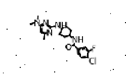 Cc1cc(N(C)C)nc(NC2CCC(NC(=O)c3ccc(Cl)c(F)c3)CC2)n1